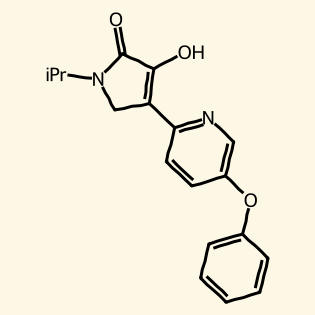 CC(C)N1CC(c2ccc(Oc3ccccc3)cn2)=C(O)C1=O